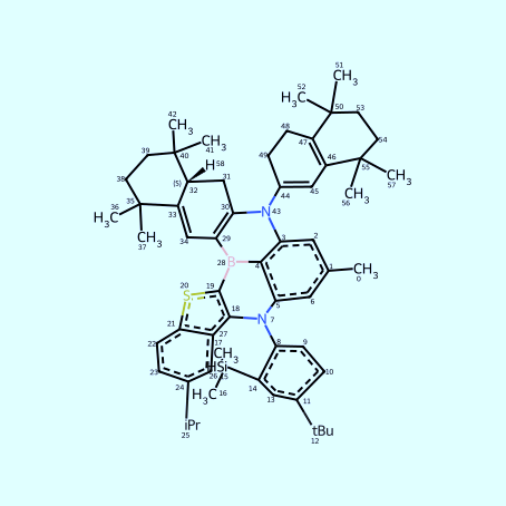 Cc1cc2c3c(c1)N(c1ccc(C(C)(C)C)cc1[SiH](C)C)c1c(sc4ccc(C(C)C)cc14)B3C1=C(C[C@@H]3C(=C1)C(C)(C)CCC3(C)C)N2C1=CC2=C(CC1)C(C)(C)CCC2(C)C